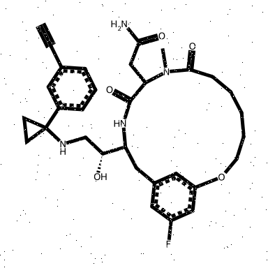 C#Cc1cccc(C2(NC[C@@H](O)C3Cc4cc(F)cc(c4)OCCCCCC(=O)N(C)C(CC(N)=O)C(=O)N3)CC2)c1